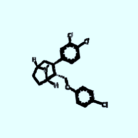 CN1[C@@H]2CC[C@H]1[C@@H](COc1ccc(Cl)cc1)[C@H](c1ccc(Cl)c(Cl)c1)C2